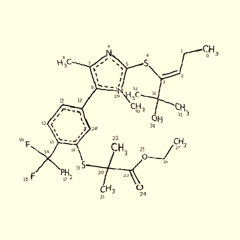 CC/C=C(\Sc1nc(C)c(-c2ccc(C(F)(F)P)c(SC(C)(C)C(=O)OCC)c2)n1C)C(C)(C)O